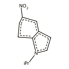 CC(C)n1ccc2cc([N+](=O)[O-])ccc21